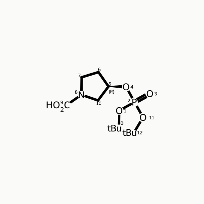 CC(C)(C)OP(=O)(O[C@@H]1CCN(C(=O)O)C1)OC(C)(C)C